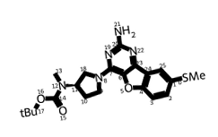 CSc1ccc2oc3c(N4CC[C@@H](N(C)C(=O)OC(C)(C)C)C4)nc(N)nc3c2c1